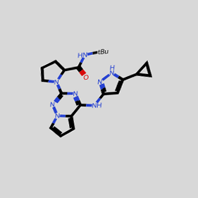 CC(C)(C)NC(=O)C1CCCN1c1nc(Nc2cc(C3CC3)[nH]n2)c2cccn2n1